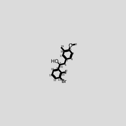 COc1ccc(C[C@H](O)c2cccc(Br)c2F)cc1C